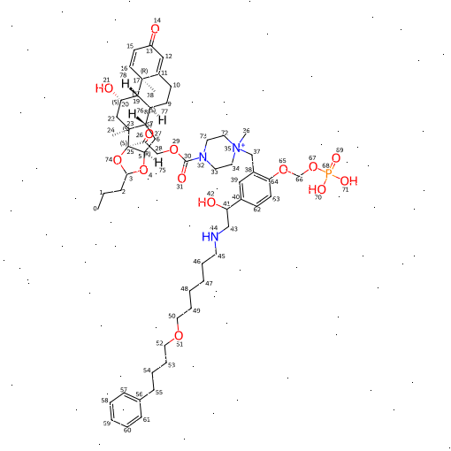 CCCC1O[C@@H]2C[C@H]3[C@@H]4CCC5=CC(=O)C=C[C@]5(C)[C@H]4[C@@H](O)C[C@]3(C)[C@]2(C(=O)COC(=O)N2CC[N+](C)(Cc3cc(C(O)CNCCCCCCOCCCCc4ccccc4)ccc3OCOP(=O)(O)O)CC2)O1